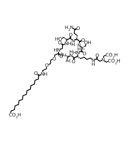 CCCC[C@H](NC(=O)[C@H](CCCCNC(=O)CN(CC(=O)O)CC(=O)O)NC(=O)[C@H](CO)NC(=O)[C@H](CCC(N)=O)NC(=O)[C@H](CO)NC(=O)CNC(=O)COCCOCCNC(=O)CCCCCCCCCCCCCCC(=O)O)C(C)=O